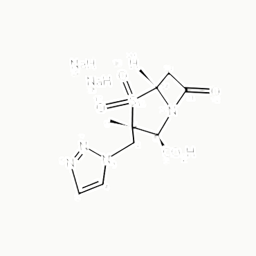 C[C@]1(Cn2ccnn2)[C@H](C(=O)O)N2C(=O)C[C@H]2S1(=O)=O.[NaH].[NaH]